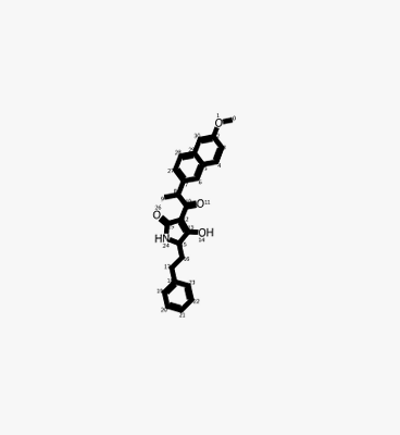 COc1ccc2cc(C(C)C(=O)C3=C(O)C(CCc4ccccc4)NC3=O)ccc2c1